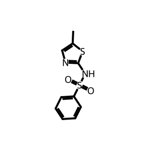 Cc1cnc(NS(=O)(=O)c2ccccc2)s1